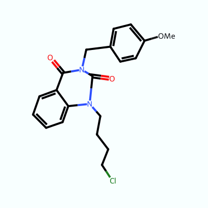 COc1ccc(Cn2c(=O)c3ccccc3n(CCCCCl)c2=O)cc1